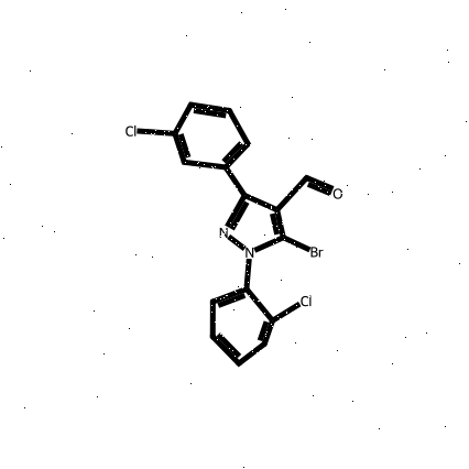 O=Cc1c(-c2cccc(Cl)c2)nn(-c2ccccc2Cl)c1Br